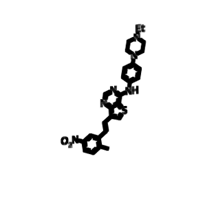 CCN1CCN(c2ccc(Nc3ncnc4c(/C=C/c5cc([N+](=O)[O-])ccc5C)csc34)cc2)CC1